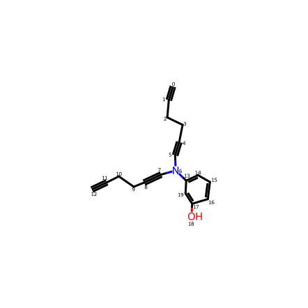 C#CCCC#CN(C#CCCC#C)c1cccc(O)c1